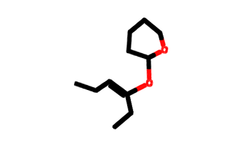 CCC=C(CC)OC1CCCCO1